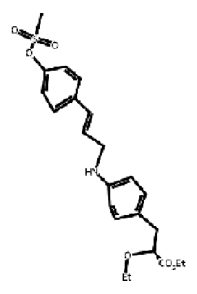 CCOC(=O)[C@H](Cc1ccc(NC/C=C/c2ccc(OS(C)(=O)=O)cc2)cc1)OCC